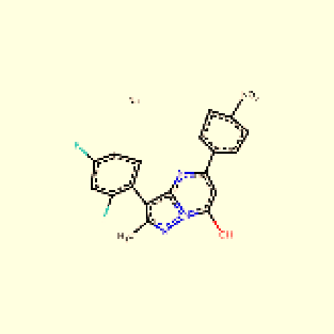 Cc1nn2c(O)cc(-c3ccc([N+](=O)[O-])cc3)nc2c1-c1ccc(F)cc1F.[Na]